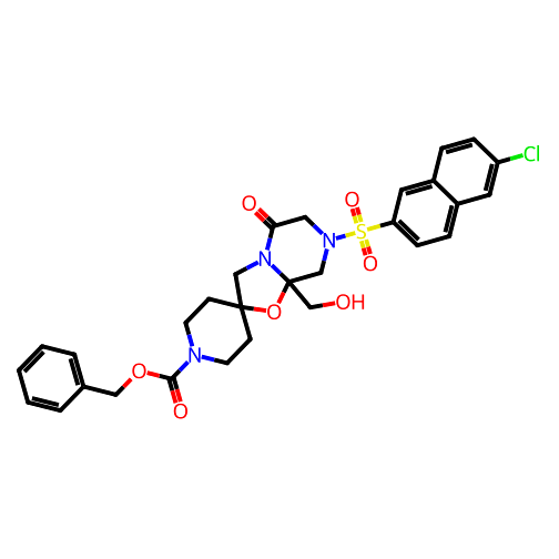 O=C(OCc1ccccc1)N1CCC2(CC1)CN1C(=O)CN(S(=O)(=O)c3ccc4cc(Cl)ccc4c3)CC1(CO)O2